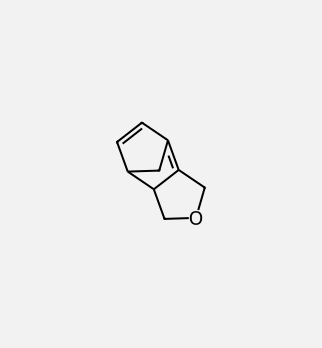 C1=CC2CC1=C1COCC12